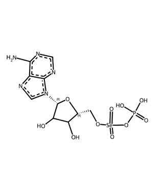 Nc1ncnc2c1ncn2[C@@H]1O[C@H](CO[Se](=O)(=O)OP(=O)(O)O)C(O)C1O